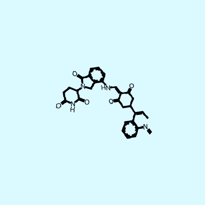 C=Nc1ccccc1/C(=C\C)C1CC(=O)C(=CNc2cccc3c2CN(C2CCC(=O)NC2=O)C3=O)C(=O)C1